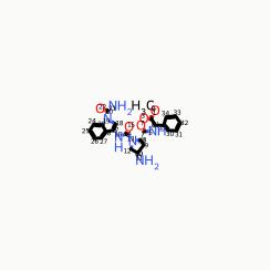 COC(=O)[C@@H](NC(=O)[C@@H]1C[C@H](N)CN1C(=O)Nc1cn(C(N)=O)c2ccccc12)c1ccccc1